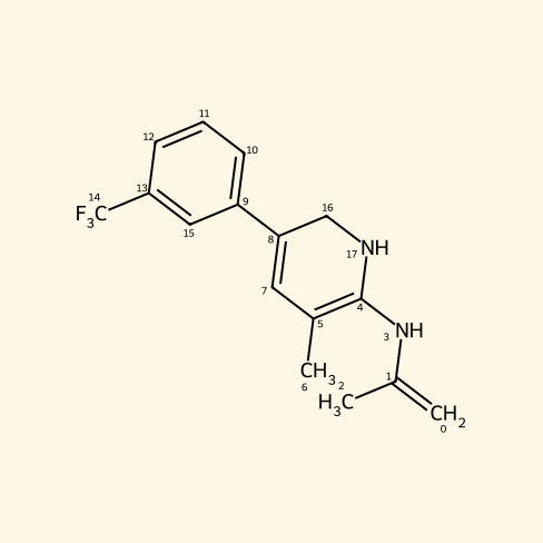 C=C(C)NC1=C(C)C=C(c2cccc(C(F)(F)F)c2)CN1